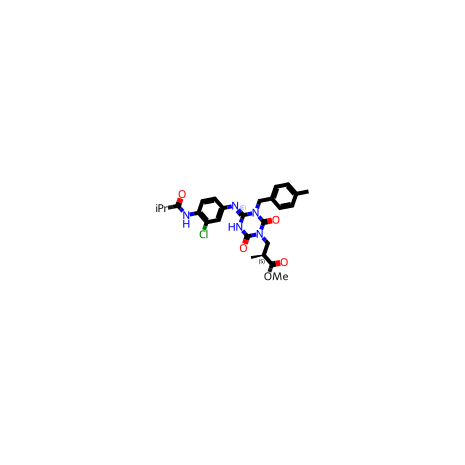 COC(=O)[C@@H](C)Cn1c(=O)[nH]/c(=N\c2ccc(NC(=O)C(C)C)c(Cl)c2)n(Cc2ccc(C)cc2)c1=O